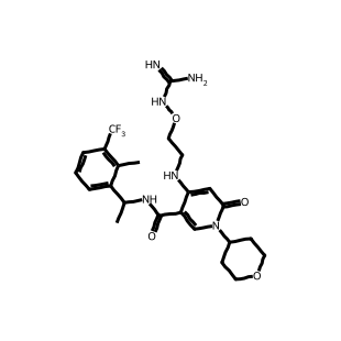 Cc1c(C(C)NC(=O)c2cn(C3CCOCC3)c(=O)cc2NCCONC(=N)N)cccc1C(F)(F)F